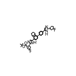 CC(C)(C)OC(=O)N1C[C@@H](F)CC1c1ncc(-c2ccc(-c3ccc(-c4cnc([C@H]5CC[C@@H](F)C5)[nH]4)cc3)c3c2C2CCC3C2)[nH]1